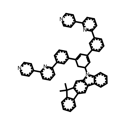 CC1(C)c2ccccc2-c2cc3c4ccccc4n(C4C=C(c5cccc(-c6cccc(-c7ccncc7)n6)c5)C=C(c5cccc(-c6cccc(-c7ccncc7)n6)c5)C4)c3cc21